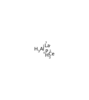 P.[AlH3].[Ce].[La]